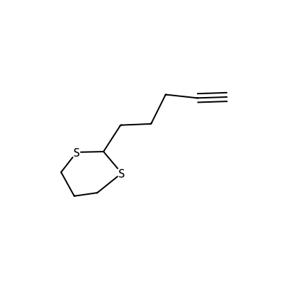 C#CCCCC1SCCCS1